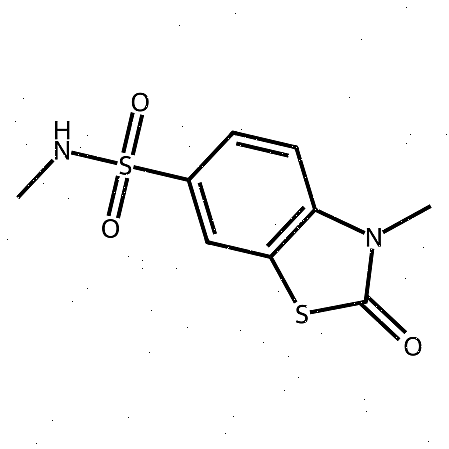 CNS(=O)(=O)c1ccc2c(c1)sc(=O)n2C